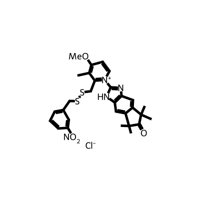 COc1cc[n+](-c2nc3cc4c(cc3[nH]2)C(C)(C)C(=O)C4(C)C)c(CSSCc2cccc([N+](=O)[O-])c2)c1C.[Cl-]